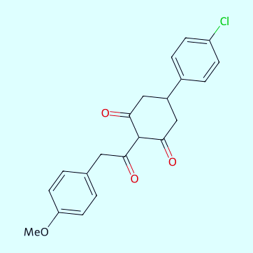 COc1ccc(CC(=O)C2C(=O)CC(c3ccc(Cl)cc3)CC2=O)cc1